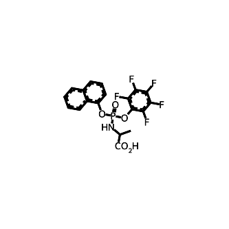 CC(NP(=O)(Oc1c(F)c(F)c(F)c(F)c1F)Oc1cccc2ccccc12)C(=O)O